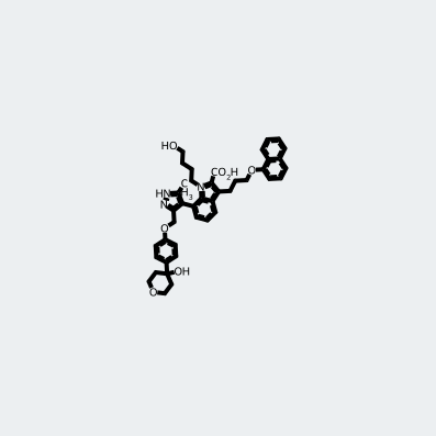 Cc1[nH]nc(COc2ccc(C3(O)CCOCC3)cc2)c1-c1cccc2c(CCCOc3cccc4ccccc34)c(C(=O)O)n(CCCCO)c12